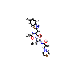 C=C(CN1CCSCC1)C(=O)NC[C@@H](NC(=O)[C@H](Cc1nc2ccc(C(C)C)cc2s1)NC(=O)CC)C(C)CC